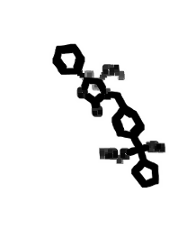 C[C@H]1[C@@H](c2ccccc2)OC(=O)N1Cc1ccc(C(C(=O)O)(C2CCCC2)C(C)(C)C)cc1